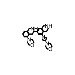 c1cc2c(c(N3CCOCC3)c1)CC(c1cc3c(c(N4CC(N5CCOCC5)C4)c1)CCNC3)NC2